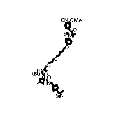 COc1cc(N2C(=O)C(C)(C)N(c3ccc(OCCCCCOCCCOCC(=O)N[C@H](C(=O)N4C[C@H](C)C[C@H]4C(=O)NCc4ccc(-c5scnc5C)cc4)C(C)(C)C)cc3)C2=S)ccc1C#N